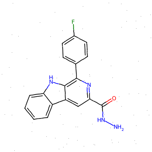 NNC(=O)c1cc2c([nH]c3ccccc32)c(-c2ccc(F)cc2)n1